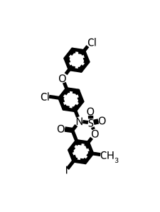 Cc1cc(I)cc2c1OS(=O)(=O)N(c1ccc(Oc3ccc(Cl)cc3)c(Cl)c1)C2=O